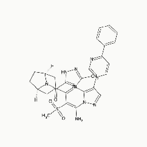 Cc1n[nH]c(C(=O)N2[C@@H]3CC[C@H]2CC(c2nc4c(-c5ccc(-c6ccccc6)nc5)cnn4c(N)c2S(C)(=O)=O)C3)n1